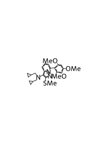 COc1cc(OC)c(-c2cccc3c(N(CC4CC4)CC4CC4)c(SC)nn23)c(OC)c1